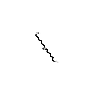 CC(C)(C)CCCCCCNCCCCCCC(C)(C)C